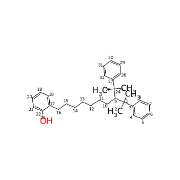 CC(C)(c1ccccc1)C(CCCCCCCc1ccccc1O)C(C)(C)c1ccccc1